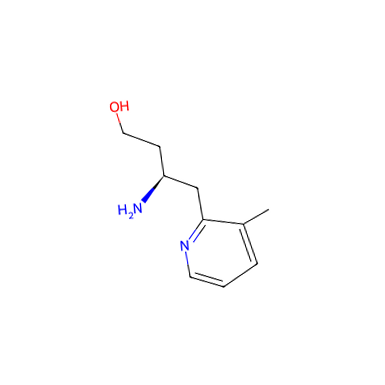 Cc1cccnc1C[C@@H](N)CCO